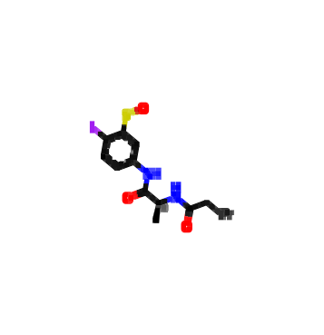 CC(C)CC(=O)N[C@@H](C)C(=O)Nc1ccc(I)c([S+]=O)c1